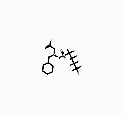 CC(=O)C[S+](CC1CCCCC1)OS(=O)(=O)C(F)(F)C(F)(F)C(F)(F)C(F)(F)F